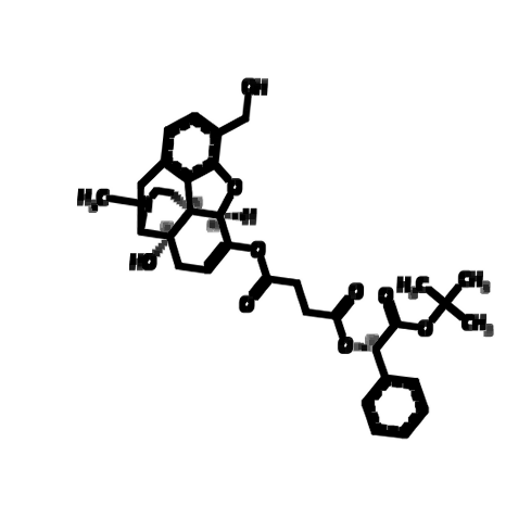 CN1CC[C@]23c4c5ccc(CO)c4O[C@H]2C(OC(=O)CCC(=O)O[C@H](C(=O)OC(C)(C)C)c2ccccc2)=CC[C@@]3(O)C1C5